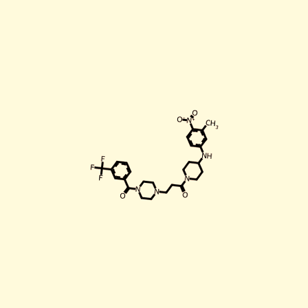 Cc1cc(NC2CCN(C(=O)CCN3CCN(C(=O)c4cccc(C(F)(F)F)c4)CC3)CC2)ccc1[N+](=O)[O-]